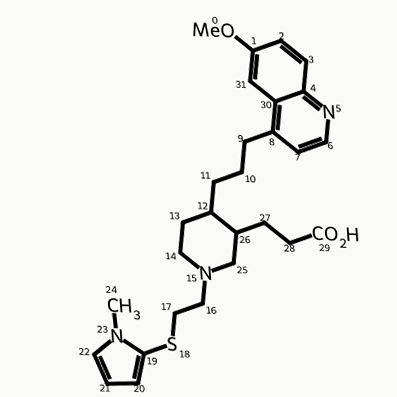 COc1ccc2nccc(CCCC3CCN(CCSc4cccn4C)CC3CCC(=O)O)c2c1